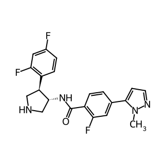 Cn1nccc1-c1ccc(C(=O)N[C@@H]2CNC[C@H]2c2ccc(F)cc2F)c(F)c1